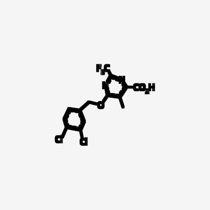 Cc1c(OCc2ccc(Cl)c(Cl)c2)nc(C(F)(F)F)nc1C(=O)O